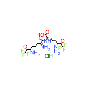 Cl.NC(CCC[C@H](NC(=O)[C@@H](N)CCCC(N)C(=O)C(F)(F)F)C(=O)O)C(=O)C(F)(F)F